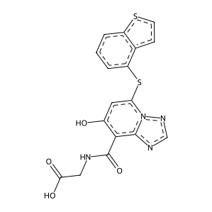 O=C(O)CNC(=O)c1c(O)cc(Sc2cccc3sccc23)n2ncnc12